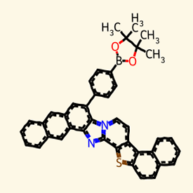 CC1(C)OB(c2ccc(-c3cc4cc5ccccc5cc4c4nc5c6sc7ccc8ccccc8c7c6ccn5c34)cc2)OC1(C)C